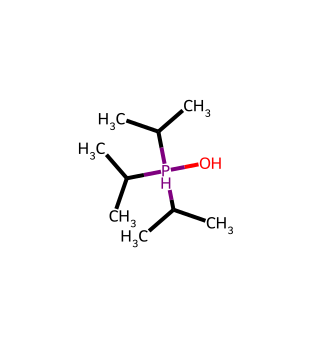 CC(C)[PH](O)(C(C)C)C(C)C